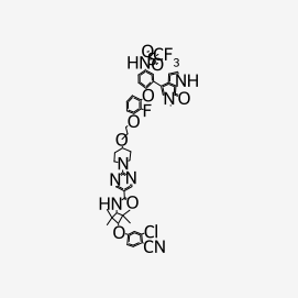 Cn1cc(-c2cc(NS(=O)(=O)C(F)(F)F)ccc2Oc2cccc(OCCOC3CCN(c4ncc(C(=O)NC5C(C)(C)C(Oc6ccc(C#N)c(Cl)c6)C5(C)C)cn4)CC3)c2F)c2cc[nH]c2c1=O